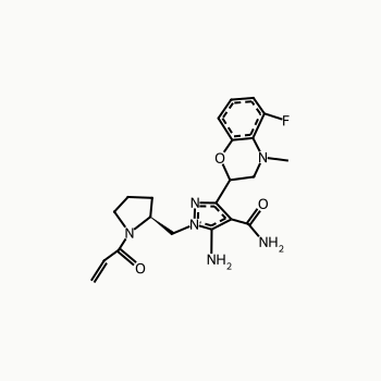 C=CC(=O)N1CCC[C@H]1Cn1nc(C2CN(C)c3c(F)cccc3O2)c(C(N)=O)c1N